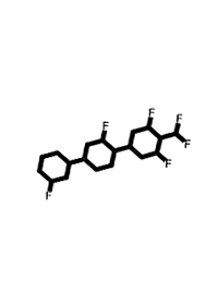 FC1CCCC(C2CCC(C3CC(F)C(C(F)F)C(F)C3)C(F)C2)C1